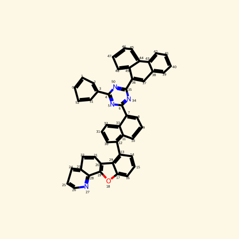 c1ccc(-c2nc(-c3cccc4c(-c5cccc6oc7c(ccc8cccnc87)c56)cccc34)nc(-c3cc4ccccc4c4ccccc34)n2)cc1